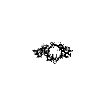 CCn1c(-c2cccnc2[C@H](C)OC)c2c3cc(ccc31)-c1csc(n1)C[C@H](NC(=O)C(C(C)C)N(C)C(=O)N1CCC13CN(C)C3)C(=O)N1CCC[C@H](N1)C(=O)OCC(C)(C)C2